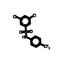 O=S(=O)(Nc1ccc(C(F)(F)F)cc1)c1cc(Cl)cc(Cl)c1